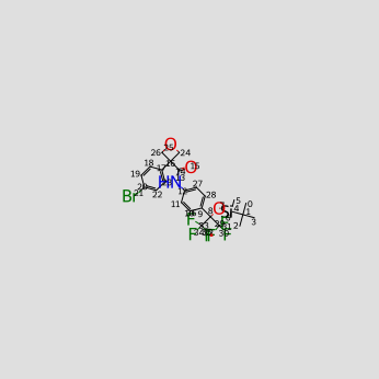 CC(C)(C)[Si](C)(C)OC(c1ccc(NC(=O)C2(c3ccc(Br)cc3)COC2)cc1)(C(F)(F)F)C(F)(F)F